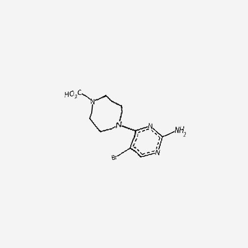 Nc1ncc(Br)c(N2CCN(C(=O)O)CC2)n1